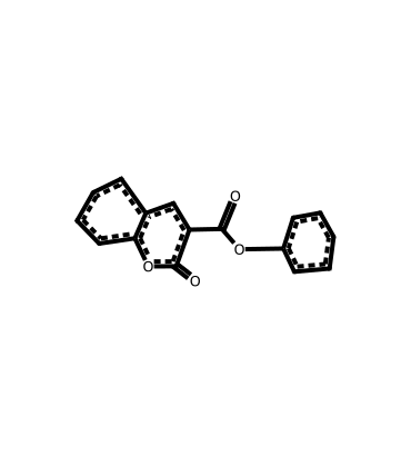 O=C(Oc1ccccc1)c1cc2ccccc2oc1=O